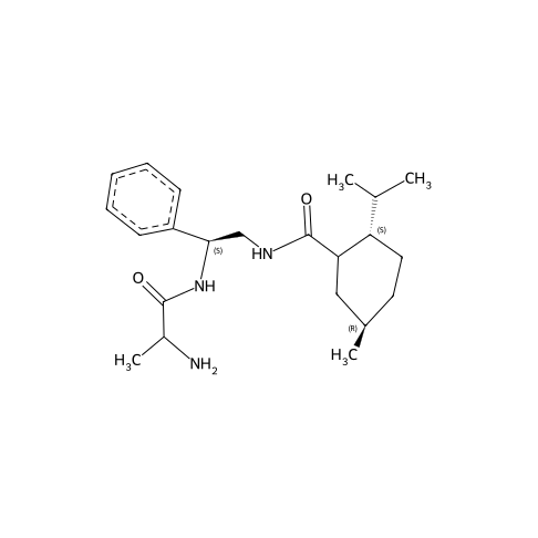 CC(N)C(=O)N[C@H](CNC(=O)C1C[C@H](C)CC[C@H]1C(C)C)c1ccccc1